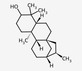 C[C@@H]1C[C@]23CC[C@H]4C(C)(C)C(O)CC[C@]4(C)[C@H]2CC[C@@H]1C3